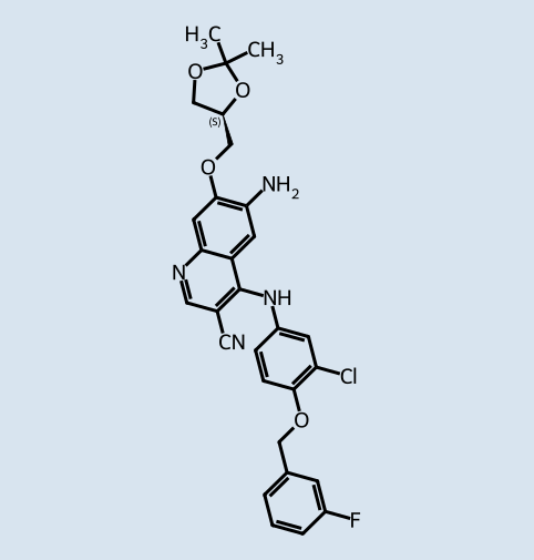 CC1(C)OC[C@H](COc2cc3ncc(C#N)c(Nc4ccc(OCc5cccc(F)c5)c(Cl)c4)c3cc2N)O1